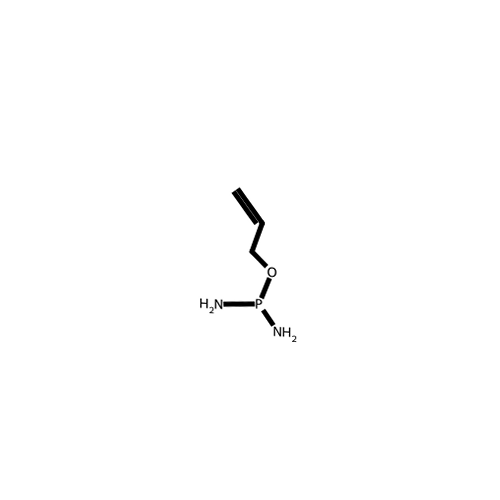 C=CCOP(N)N